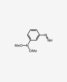 CON(OC)c1cccc(N=N)c1